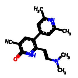 Cc1cc(-c2cc(C#N)c(=O)[nH]c2/C=C/N(C)C)cc(C)n1